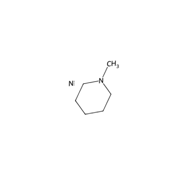 CN1CCCCC1.[N]